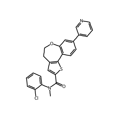 CN(C(=O)c1cc2c(s1)-c1ccc(-c3cccnc3)cc1OCC2)c1ccccc1Cl